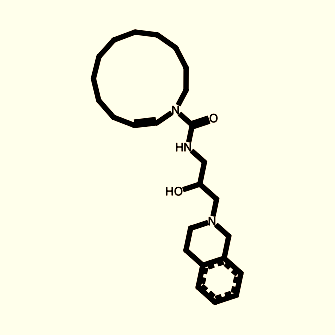 O=C(NCC(O)CN1CCc2ccccc2C1)N1/C=C\CCCCCCCCCC1